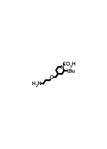 CC(C)(C)C1CC(COCCCN)CCN1C(=O)O